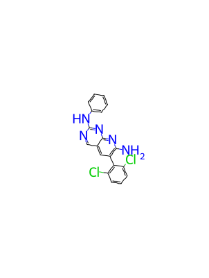 Nc1nc2nc(Nc3ccccc3)ncc2cc1-c1c(Cl)cccc1Cl